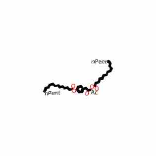 CCCCC/C=C\C/C=C\CCCCCCCC(=O)Oc1ccc(CC(=O)C(OC(=O)CCCCCCC/C=C\C/C=C\CCCCC)C(C)=O)cc1